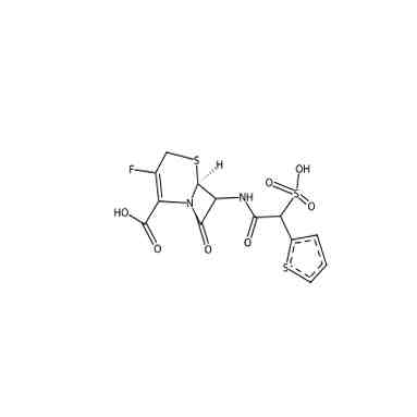 O=C(O)C1=C(F)CS[C@H]2C(NC(=O)C(c3cccs3)S(=O)(=O)O)C(=O)N12